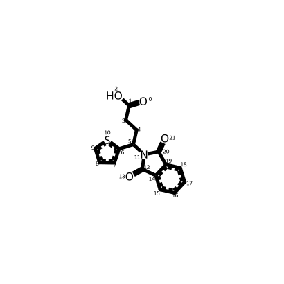 O=C(O)CCC(c1cccs1)N1C(=O)c2ccccc2C1=O